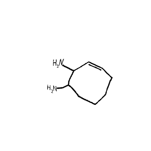 NC1C=CCCCCC1N